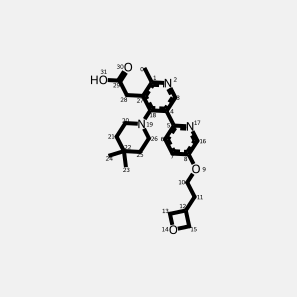 Cc1ncc(-c2ccc(OCCC3COC3)cn2)c(N2CCC(C)(C)CC2)c1CC(=O)O